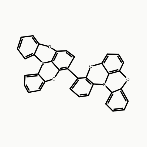 c1ccc2c(c1)Oc1cccc3c1B2c1cccc(-c2ccc4c5c2Oc2ccccc2B5c2ccccc2O4)c1O3